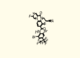 N#CCCN(C(=O)c1cnc(F)cn1)c1cccc(C(=O)Nc2c(Br)cc(C(F)(C(F)(F)F)C(F)(F)F)cc2Br)c1F